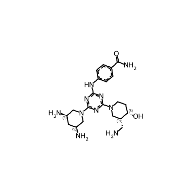 NC[C@@H]1CN(c2nc(Nc3ccc(C(N)=O)cc3)nc(N3C[C@H](N)C[C@H](N)C3)n2)CC[C@@H]1O